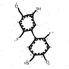 Fc1cc(Cl)c(S)cc1-c1cc(S)c(Cl)cc1F